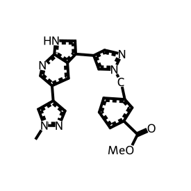 COC(=O)c1cccc(Cn2cc(-c3c[nH]c4ncc(-c5cnn(C)c5)cc34)cn2)c1